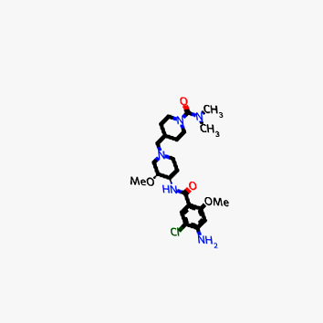 COc1cc(N)c(Cl)cc1C(=O)N[C@H]1CCN(CC2CCN(C(=O)N(C)C)CC2)C[C@H]1OC